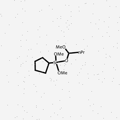 CCCC(OC)O[Si](OC)(OC)C1CCCC1